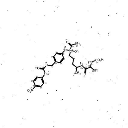 CC(CCC[N+]([O-])(Nc1ccc(COC(=O)Oc2ccc([N+](=O)[O-])cc2)cc1)C(N)=O)NC(=O)C(NC(=O)O)C(C)C